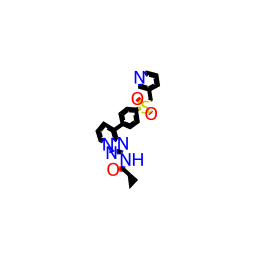 O=C(Nc1nc2c(-c3ccc(S(=O)(=O)Cc4cccnc4)cc3)cccn2n1)C1CC1